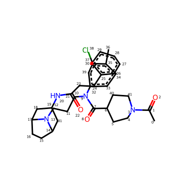 CC(=O)N1CCC(C(=O)N(CCCN2C3CCC2CC(NC(=O)CCc2ccccc2)C3)c2ccc(C)c(Cl)c2)CC1